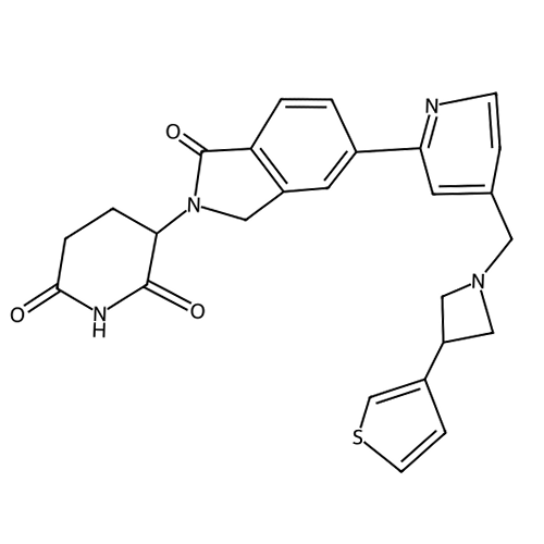 O=C1CCC(N2Cc3cc(-c4cc(CN5CC(c6ccsc6)C5)ccn4)ccc3C2=O)C(=O)N1